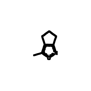 Cc1onc2c1CCC2